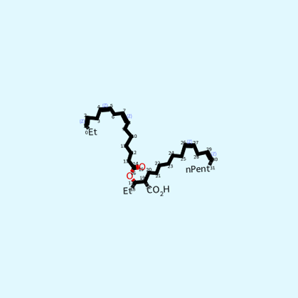 CC/C=C\C/C=C\C/C=C\CCCCCC(=O)OC(CC)C(CCCCCC/C=C\C/C=C\CCCCC)C(=O)O